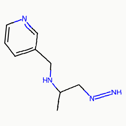 CC(CN=N)NCc1cccnc1